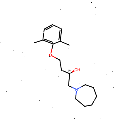 Cc1cccc(C)c1OCC[C@@H](O)CN1CCCCCC1